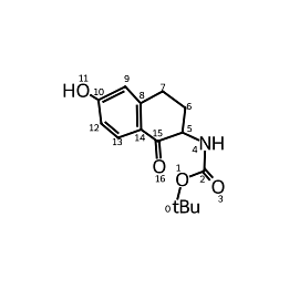 CC(C)(C)OC(=O)NC1CCc2cc(O)ccc2C1=O